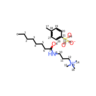 CCCCCCCC(=O)NCCC[N+](C)(C)C.Cc1ccc(S(=O)(=O)[O-])cc1